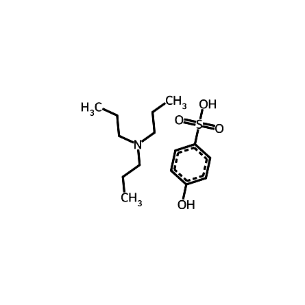 CCCN(CCC)CCC.O=S(=O)(O)c1ccc(O)cc1